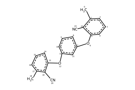 Cc1cccc(Oc2cccc(Oc3cccc(C)c3C#N)c2)c1C#N